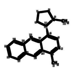 Cc1ncc([C@@H]2CCCN2C)c2nc3ccccc3cc12